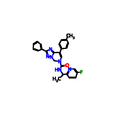 Cc1ccc(C2=CN(C(=O)NC(C)c3ccc(F)cn3)Cn3nc(-c4ccccc4)nc32)cc1